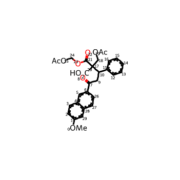 COc1ccc2cc(C(=O)CC(c3ccccc3)C(COC(C)=O)(C(=O)O)C(=O)OCOC(C)=O)ccc2c1